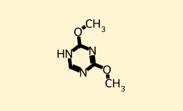 CO[C]1N=C(OC)N=CN1